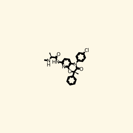 CN[C@@H](C)C(=O)Nc1ccc2c(n1)O[C@@](C)(c1ccccc1)C(=O)N2c1ccc(Cl)cc1